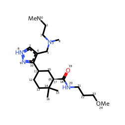 CNCCN(C)Cc1c[nH]nc1C1CCC(C)(C)[C@H](C(=O)NCCCOC)C1